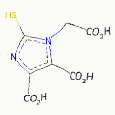 O=C(O)Cn1c(S)nc(C(=O)O)c1C(=O)O